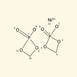 O=P1([O-])OCO1.O=P1([O-])OCO1.[Ni+2]